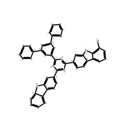 Clc1cccc2c1oc1cc(-c3nc(-c4cc(-c5ccccc5)cc(-c5ccccc5)c4)nc(-c4ccc5c(c4)oc4ccccc45)n3)ccc12